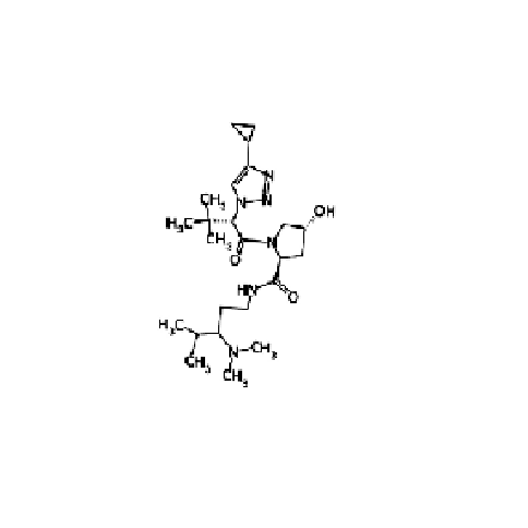 CC(C)C(CCNC(=O)[C@@H]1C[C@@H](O)CN1C(=O)[C@@H](n1cc(C2CC2)nn1)C(C)(C)C)N(C)C